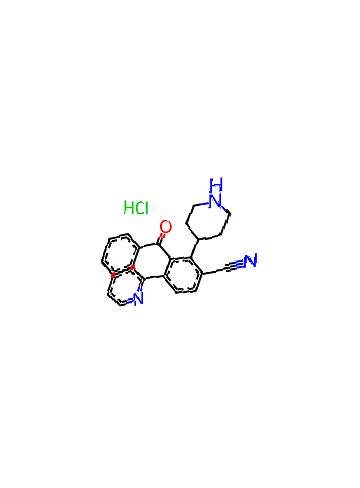 Cl.N#Cc1ccc(-c2ccccn2)c(C(=O)c2ccccc2)c1C1CCNCC1